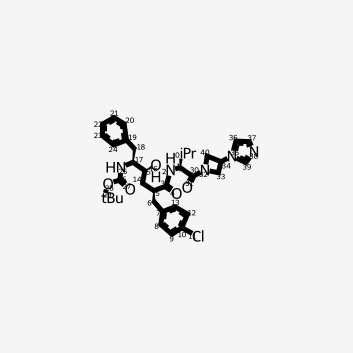 CC(C)[C@H](NC(=O)[C@@H](Cc1ccc(Cl)cc1)C[C@@H](O)[C@H](Cc1ccccc1)NC(=O)OC(C)(C)C)C(=O)N1CC(n2ccnc2)C1